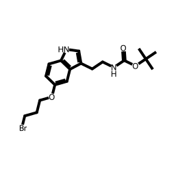 CC(C)(C)OC(=O)NCCc1c[nH]c2ccc(OCCCBr)cc12